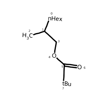 CCCCCCC(C)COC(=O)C(C)(C)C